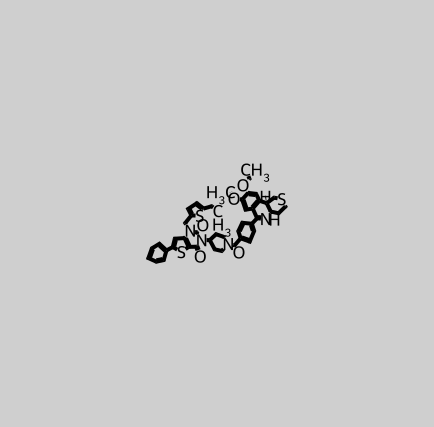 CCOc1cc2c(cc1OC)C(c1ccc(C(=O)N3CCC(n4c(=O)c5sc(-c6ccccc6)cc5n(Cc5ccc(CC)s5)c4=O)CC3)cc1)=N[C@@H]1CCSC[C@H]21